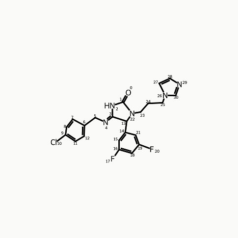 O=C1NC(=NCc2ccc(Cl)cc2)C(c2cc(F)cc(F)c2)N1CCCn1ccnc1